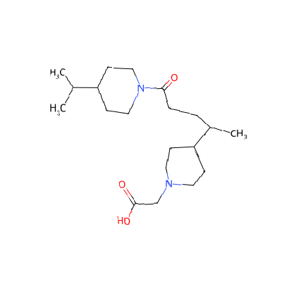 CC(C)C1CCN(C(=O)CCC(C)C2CCN(CC(=O)O)CC2)CC1